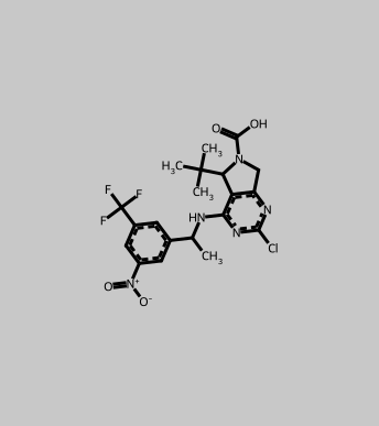 CC(Nc1nc(Cl)nc2c1C(C(C)(C)C)N(C(=O)O)C2)c1cc([N+](=O)[O-])cc(C(F)(F)F)c1